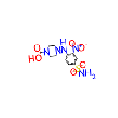 NS(=O)(=O)c1ccc(NN2CCN(C(=O)O)CC2)c([N+](=O)[O-])c1